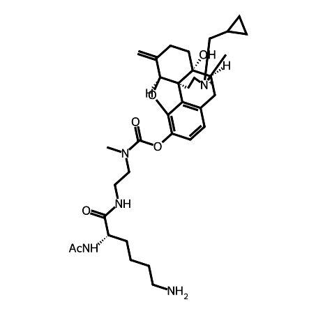 C=C1CC[C@@]2(O)[C@H]3Cc4ccc(OC(=O)N(C)CCNC(=O)[C@H](CCCCN)NC(C)=O)c5c4[C@@]2(CC[N+]3(C)CC2CC2)[C@H]1O5